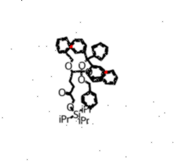 CC(C)[Si](OCC(=O)CCC(OCc1ccccc1)C(OCc1ccccc1)(OCc1ccccc1)OC(c1ccccc1)(c1ccccc1)c1ccccc1)(C(C)C)C(C)C